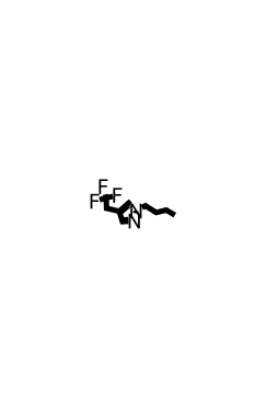 CCCCn1cc(CC(F)(F)F)cn1